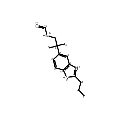 CCCc1nc2cc(C(C)(C)CNC=O)ccc2[nH]1